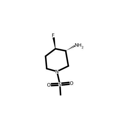 CS(=O)(=O)N1CC[C@@H](F)[C@H](N)C1